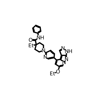 CCOc1cc(-c2ccc(N3CCC(CC)(C(=O)Nc4ccccc4)CC3)nc2)c2c3cn[nH]c3nn2c1